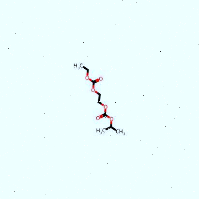 CCOC(=O)OC[CH]OC(=O)OC(C)C